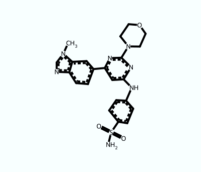 Cn1cnc2ccc(-c3cc(Nc4ccc(S(N)(=O)=O)cc4)nc(N4CCOCC4)n3)cc21